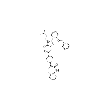 CC(C)CCN1C(=O)C(CC(=O)N2CCC(N3CCc4ccccc4NC3=O)CC2)SC1c1ccccc1OCc1ccccc1